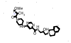 CO/N=C(\C)C(=O)N1CCC(Nc2cc(C(=O)NC[C@H](O)CN3CCc4ccccc4C3)ncn2)CC1